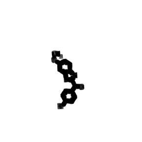 COc1ccc2nc(C(=O)c3ccc(Br)cc3)sc2c1